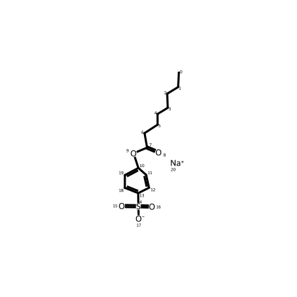 CCCCCCCC(=O)Oc1ccc(S(=O)(=O)[O-])cc1.[Na+]